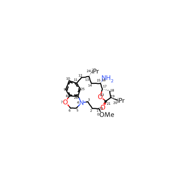 COCCCN1CCOc2ccc(C[C@@H](C[C@H](N)[C@@H]3C[C@@H](C(C)C)C(=O)O3)C(C)C)cc21